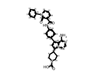 Nc1ncnn2c(C3CCN(C(=O)O)CC3)cc(-c3ccc(NC(=O)c4cccn(-c5ccccc5)c4=O)cc3)c12